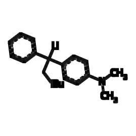 [Li][C](CC(C)CC)(c1ccccc1)c1ccc(N(C)C)cc1